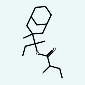 CCC(I)C(=O)OC(C)(CC)C1(C)CC2CCCC(C2)C1